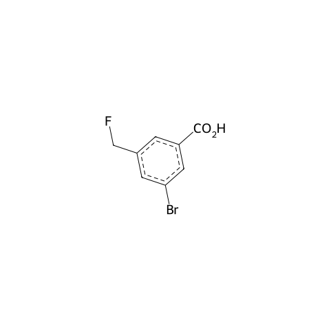 O=C(O)c1cc(Br)cc(CF)c1